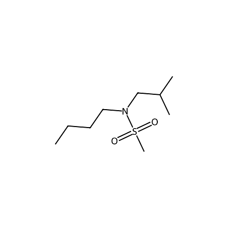 CCCCN(CC(C)C)S(C)(=O)=O